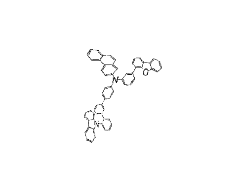 c1cc(-c2ccc(N(c3cccc(-c4cccc5c4oc4ccccc45)c3)c3ccc4c(ccc5ccccc54)c3)cc2)cc(-c2ccccc2-n2c3ccccc3c3ccccc32)c1